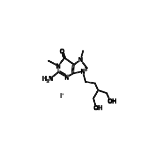 Cn1c(N)nc2c(c1=O)n(C)c[n+]2CCC(CO)CO.[I-]